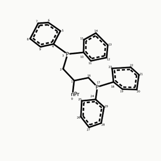 CCCC(CP(c1ccccc1)c1ccccc1)CP(c1ccccc1)c1ccccc1